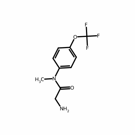 CN(C(=O)CN)c1ccc(OC(F)(F)F)cc1